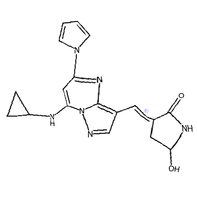 O=C1NC(O)C/C1=C\c1cnn2c(NC3CC3)cc(-n3cccc3)nc12